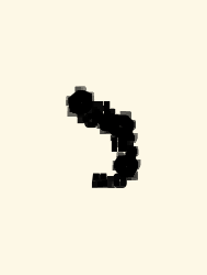 COc1ccc(CNCc2ccc3sc(C(=O)Nc4ccccc4N)cc3c2)cc1